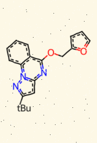 CC(C)(C)c1cc2nc(OCc3ccco3)c3ccccc3n2n1